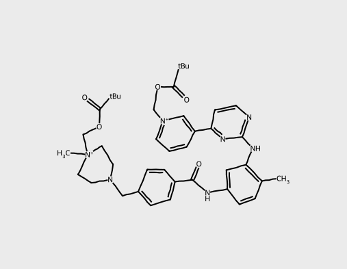 Cc1ccc(NC(=O)c2ccc(CN3CC[N+](C)(COC(=O)C(C)(C)C)CC3)cc2)cc1Nc1nccc(-c2ccc[n+](COC(=O)C(C)(C)C)c2)n1